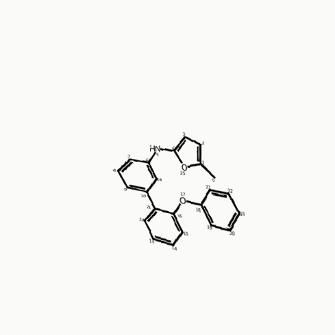 Cc1ccc(Nc2cccc(-c3ccccc3Oc3ccccc3)c2)o1